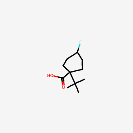 CC(C)(C)C1(C(=O)O)CCC(F)CC1